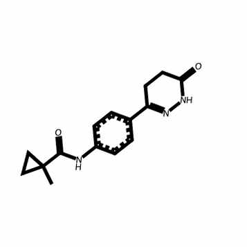 CC1(C(=O)Nc2ccc(C3=NNC(=O)CC3)cc2)CC1